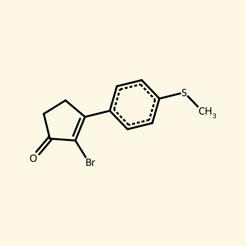 CSc1ccc(C2=C(Br)C(=O)CC2)cc1